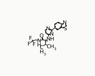 CC(C)[C@@H](Nc1ccnc(-c2ccc3ncsc3c2)n1)C(=O)NCC(F)(F)F